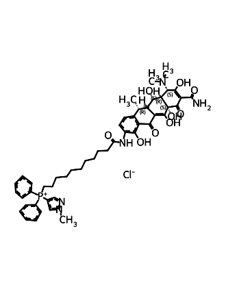 C[C@H]1c2ccc(NC(=O)CCCCCCCCCC[P+](c3ccccc3)(c3ccccc3)c3cnn(C)c3)c(O)c2C(=O)C2=C(O)[C@]3(O)C(=O)C(C(N)=O)=C(O)[C@@H](N(C)C)[C@@H]3[C@@H](O)[C@@H]21.[Cl-]